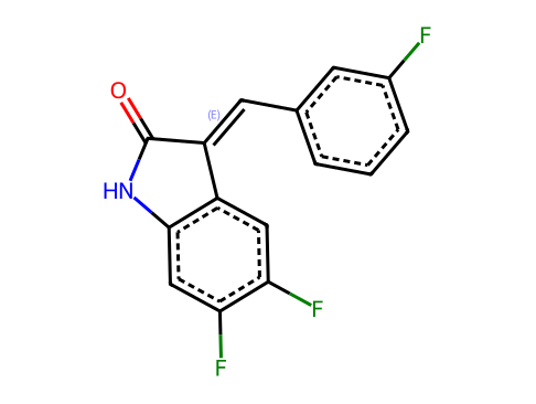 O=C1Nc2cc(F)c(F)cc2/C1=C\c1cccc(F)c1